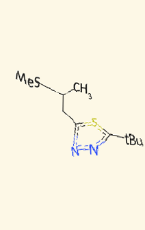 CSC(C)Cc1nnc(C(C)(C)C)s1